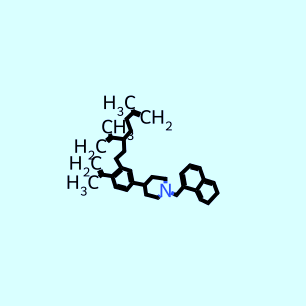 C=C(C)CCC(CCc1cc(C2CCN(Cc3cccc4c3=CCCC=4)CC2)ccc1C(=C)C)C(=C)C